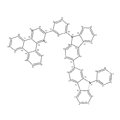 c1ccc(-n2c3ccccc3c3ccc(-c4ccc5c(c4)c4ccccc4n5-c4cccc(-c5cnc6c7ccccc7c7ccccc7c6n5)c4)cc32)cc1